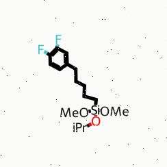 CO[Si](CCCCCc1ccc(F)c(F)c1)(OC)OC(C)C